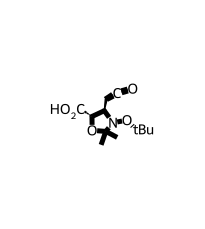 CC(C)(C)ON1[C@H](C=C=O)[C@@H](C(=O)O)OC1(C)C